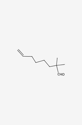 C=CCCCCC(C)(C)C=O